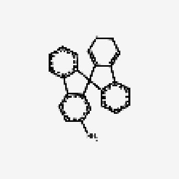 Nc1ccc2c(c1)C1(C3=CCCC=C3c3ccccc31)c1ccccc1-2